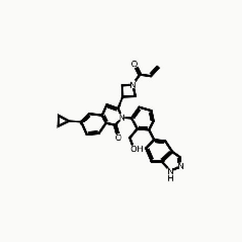 C=CC(=O)N1CC(c2cc3cc(C4CC4)ccc3c(=O)n2-c2cccc(-c3ccc4[nH]ncc4c3)c2CO)C1